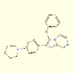 c1ccc(Nc2c(-c3ccc(N4CCOCC4)cc3)nc3cnccn23)cc1